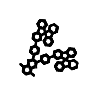 Cc1ccc(C)c2nc(-c3ccc(-c4ccc5c(c4)C4(C6=C(C=CCC6)c6ccccc64)c4ccccc4-5)cc3)c(-c3ccc(-c4ccc5c(c4)C4(C6=C(C=CCC6)c6ccccc64)c4ccccc4-5)cc3)nc12